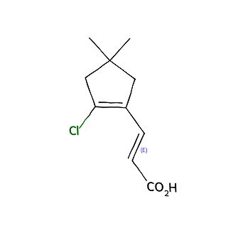 CC1(C)CC(Cl)=C(/C=C/C(=O)O)C1